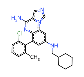 Cc1cccc(Cl)c1-c1cc(NCC2CCCCC2)cc2c1nc(N)c1cncn12